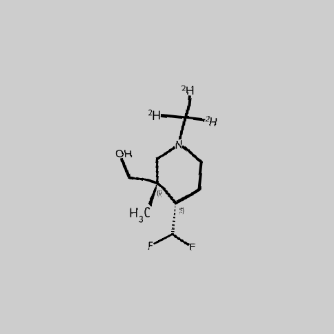 [2H]C([2H])([2H])N1CC[C@H](C(F)F)[C@](C)(CO)C1